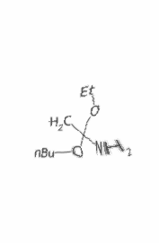 [CH2]C(N)(OCC)OCCCC